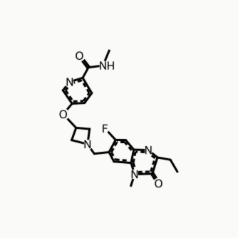 CCc1nc2cc(F)c(CN3CC(Oc4ccc(C(=O)NC)nc4)C3)cc2n(C)c1=O